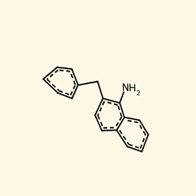 Nc1c(Cc2ccccc2)ccc2ccccc12